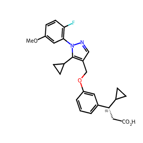 COc1ccc(F)c(-n2ncc(COc3cccc([C@@H](CC(=O)O)C4CC4)c3)c2C2CC2)c1